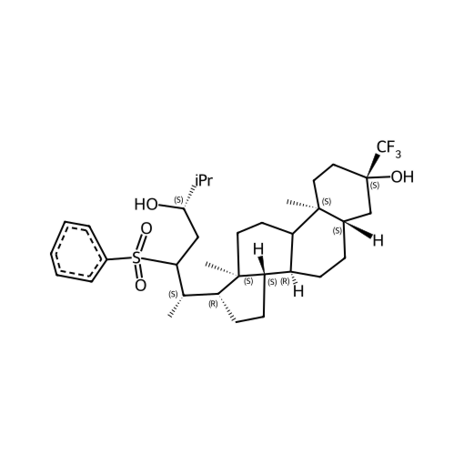 CC(C)[C@@H](O)CC([C@@H](C)[C@H]1CC[C@H]2[C@@H]3CC[C@H]4C[C@](O)(C(F)(F)F)CC[C@]4(C)C3CC[C@]12C)S(=O)(=O)c1ccccc1